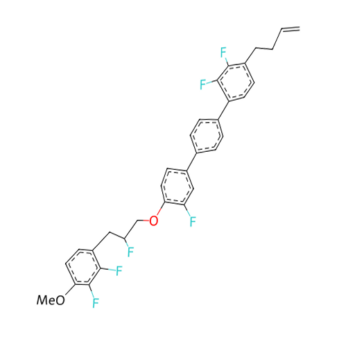 C=CCCc1ccc(-c2ccc(-c3ccc(OCC(F)Cc4ccc(OC)c(F)c4F)c(F)c3)cc2)c(F)c1F